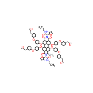 C=c1c2cc(Oc3ccc(Oc4cccc(CC5CO5)c4)cc3)c3c4c(Oc5ccc(Oc6cccc(CC7CO7)c6)cc5)cc5c6c(cc(Oc7ccc(Oc8cccc(CC9CO9)c8)cc7)c(c7c(Oc8ccc(Oc9cccc(CC%10CO%10)c9)cc8)cc(c(=O)n1C(C(=O)NCCC)c1ccco1)c2c37)c64)C(=O)N(C(C(=O)NCCC)c1ccco1)C5=O